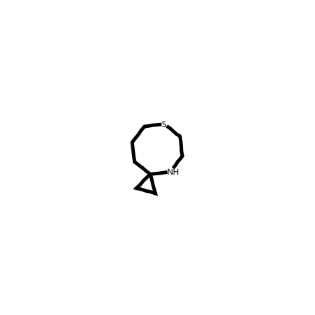 C1CSCCNC2(C1)CC2